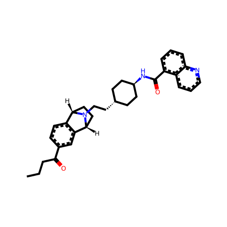 CCCC(=O)c1ccc2c(c1)[C@H]1CC[C@@H]2N1CC[C@H]1CC[C@H](NC(=O)c2cccc3ncccc23)CC1